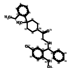 CCc1ccccc1C1(C)CCN(C(=O)CNC(c2ccccc2)c2cc(Cl)ccc2NC)CC1